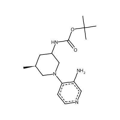 C[C@H]1CC(NC(=O)OC(C)(C)C)CN(c2ccncc2N)C1